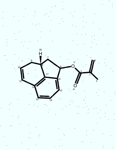 C=C(C)C(=O)OC1C[C@H]2CC=Cc3cccc1c32